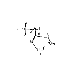 CC(C)(C)NC(CO)CO